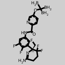 BC(B)(B)Oc1ccc(C(=O)Nc2cc(F)c(F)c([C@@]3(CF)N=C(N)CCC3(F)F)c2)nc1